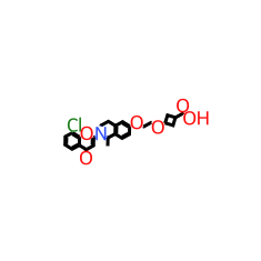 CC1c2ccc(OCCOC3CC(C(=O)O)C3)cc2CCN1c1cc(=O)c2cccc(Cl)c2o1